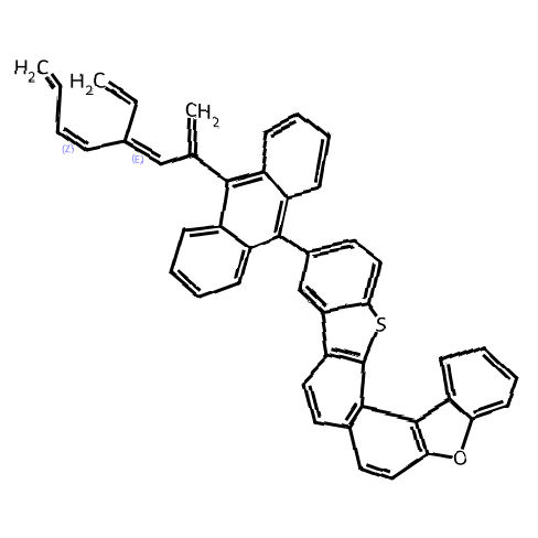 C=C/C=C\C(C=C)=C\C(=C)c1c2ccccc2c(-c2ccc3sc4c(ccc5ccc6oc7ccccc7c6c54)c3c2)c2ccccc12